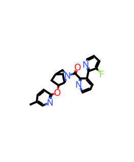 Cc1ccc(OC2CC3CC2N(C(=O)c2ncccc2-c2ncccc2F)C3)nc1